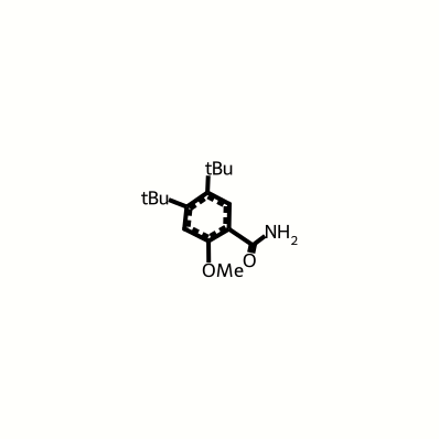 COc1cc(C(C)(C)C)c(C(C)(C)C)cc1C(N)=O